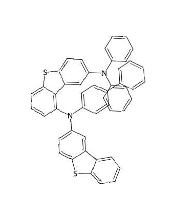 c1ccc(-c2ccc(N(c3ccc4sc5ccccc5c4c3)c3cccc4sc5ccc(N(c6ccccc6)c6ccccc6)cc5c34)cc2)cc1